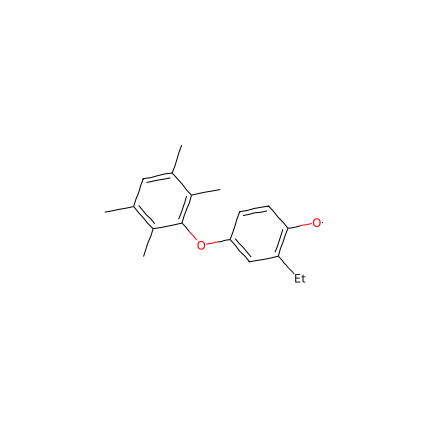 CCc1cc(Oc2c(C)c(C)cc(C)c2C)ccc1[O]